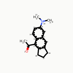 CC(=O)c1c2c(cc3cc(N(C)C)ccc13)CCC2